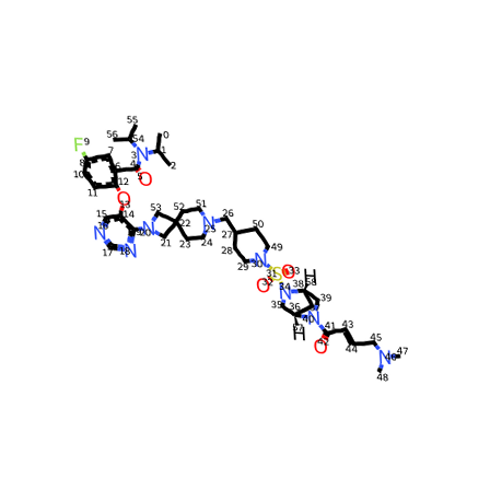 CC(C)N(C(=O)c1cc(F)ccc1Oc1cncnc1N1CC2(CCN(CC3CCN(S(=O)(=O)N4C[C@@H]5C[C@H]4CN5C(=O)/C=C/CN(C)C)CC3)CC2)C1)C(C)C